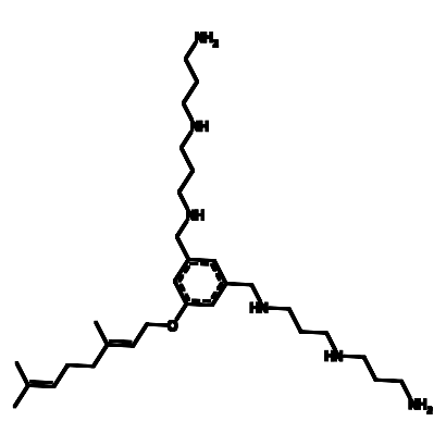 CC(C)=CCC/C(C)=C/COc1cc(CNCCCNCCCN)cc(CNCCCNCCCN)c1